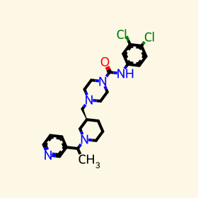 CC(c1cccnc1)N1CCC[C@H](CN2CCN(C(=O)Nc3ccc(Cl)c(Cl)c3)CC2)C1